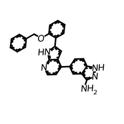 Nc1n[nH]c2ccc(-c3ccnc4[nH]c(-c5ccccc5OCc5ccccc5)cc34)cc12